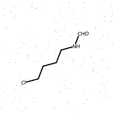 O=CNCCCCCl